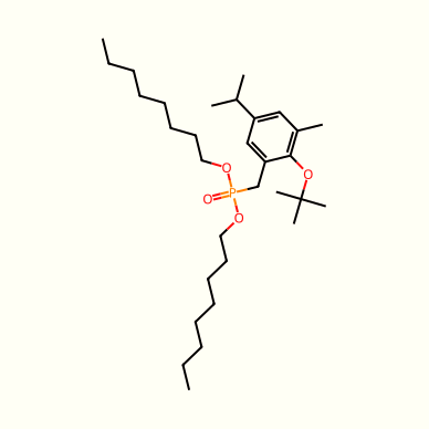 CCCCCCCCOP(=O)(Cc1cc(C(C)C)cc(C)c1OC(C)(C)C)OCCCCCCCC